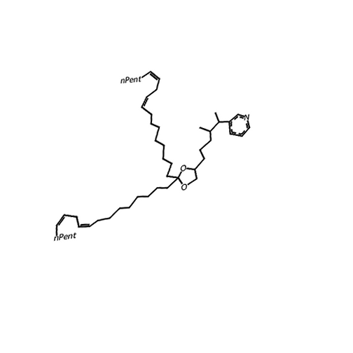 CCCCC/C=C\C/C=C\CCCCCCCCC1(CCCCCCCC/C=C\C/C=C\CCCCC)OCC(CCCC(C)C(C)c2cccnc2)O1